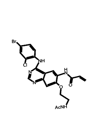 C=CC(=O)Nc1cc2c(Nc3ccc(Br)cc3Cl)ncnc2cc1OCCNC(C)=O